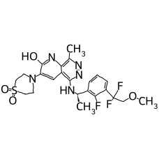 COCC(F)(F)c1cccc([C@@H](C)Nc2nnc(C)c3nc(O)c(N4CCS(=O)(=O)CC4)cc23)c1F